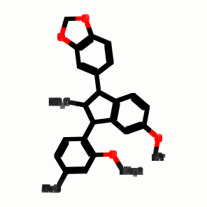 CCCCCCCOc1cc(OC)ccc1C1c2cc(OCCC)ccc2C(c2ccc3c(c2)OCO3)C1C(=O)O